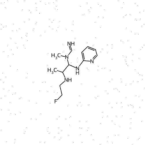 CC(NCCF)C(Nc1ccccn1)N(C)C=N